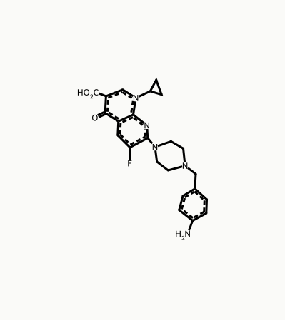 Nc1ccc(CN2CCN(c3nc4c(cc3F)c(=O)c(C(=O)O)cn4C3CC3)CC2)cc1